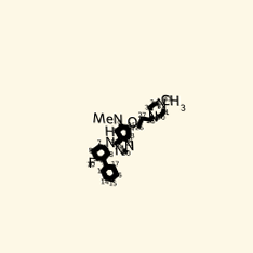 CNc1cc2c(Nc3ccc(F)c(-c4ccccc4)c3)ncnc2cc1OCCCN1CCN(C)CC1